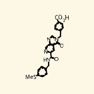 CSc1ccc(CNC(=O)c2cc3c(=O)n(Cc4ccc(C(=O)O)cc4)cnc3cn2)cc1